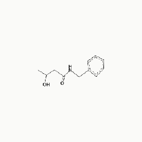 CC(O)CC(=O)NCc1ccccc1